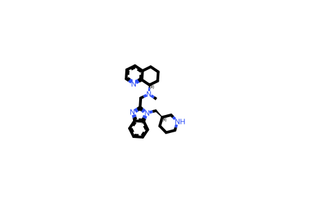 CN(Cc1nc2ccccc2n1C[C@@H]1CCCNC1)[C@@H]1CCCc2cccnc21